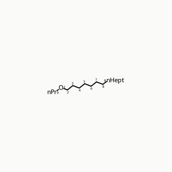 C[CH]COCCCCCCCCCCCCCC